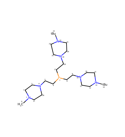 CN1CCN(CCP(CCN2CCN(C(C)(C)C)CC2)CCN2CCN(C(C)(C)C)CC2)CC1